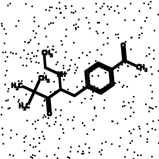 CCNC(Cc1ccc(C(C)=O)cc1)C(=O)C(C)(C)C